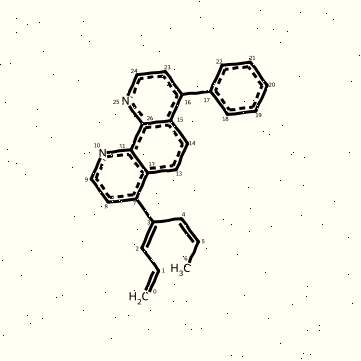 C=C/C=C(\C=C/C)c1ccnc2c1ccc1c(-c3ccccc3)ccnc12